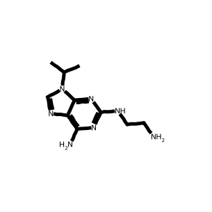 CC(C)n1cnc2c(N)nc(NCCN)nc21